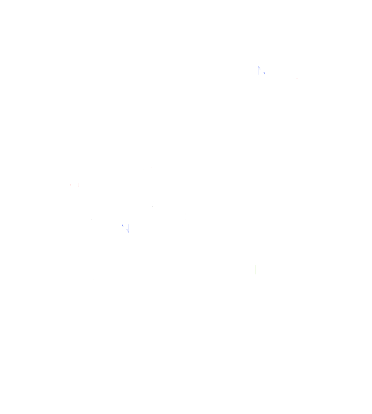 O=C1OCC(c2cc(F)cc(F)c2)N1C(=O)Oc1ccc([N+](=O)[O-])cc1